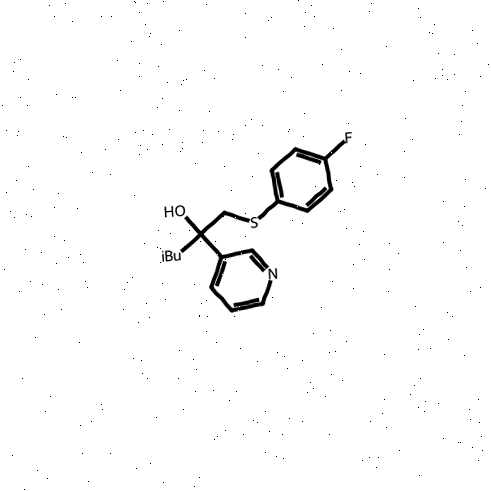 CCC(C)C(O)(CSc1ccc(F)cc1)c1cccnc1